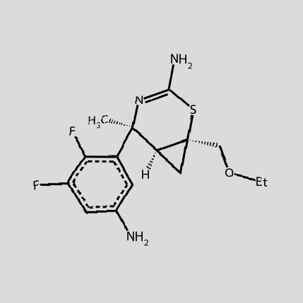 CCOC[C@]12C[C@H]1[C@@](C)(c1cc(N)cc(F)c1F)N=C(N)S2